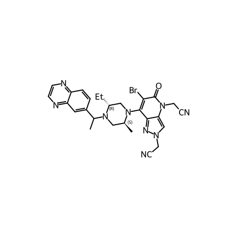 CC[C@@H]1CN(c2c(Br)c(=O)n(CC#N)c3cn(CC#N)nc23)[C@@H](C)CN1C(C)c1ccc2nccnc2c1